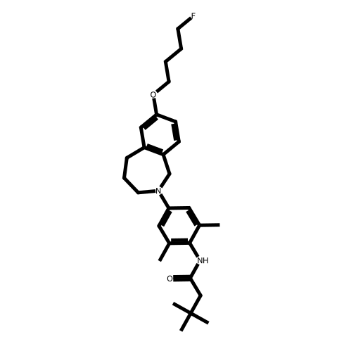 Cc1cc(N2CCCc3cc(OCCCCF)ccc3C2)cc(C)c1NC(=O)CC(C)(C)C